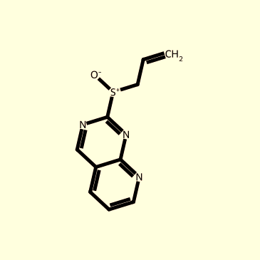 C=CC[S+]([O-])c1ncc2cccnc2n1